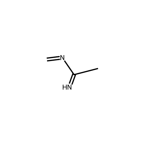 C=NC(C)=N